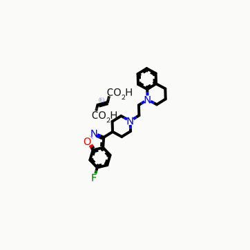 Fc1ccc2c(C3CCN(CCN4CCCc5ccccc54)CC3)noc2c1.O=C(O)/C=C/C(=O)O